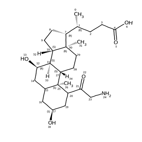 C[C@H](CCC(=O)O)[C@H]1CC[C@H]2[C@@H]3[C@H](O)CC4C[C@H](O)CC(C(=O)CN)[C@]4(C)[C@H]3CC[C@]12C